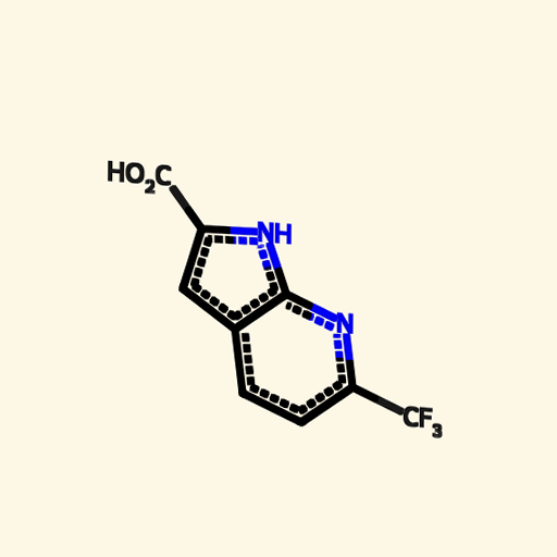 O=C(O)c1cc2ccc(C(F)(F)F)nc2[nH]1